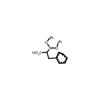 CC(C)ON(OC(C)C)C(Cc1ccccc1)C(=O)O